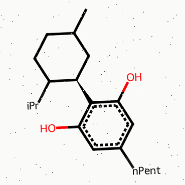 CCCCCc1cc(O)c([C@@H]2CC(C)CCC2C(C)C)c(O)c1